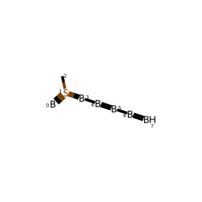 B#S(C)=BB=BB=B